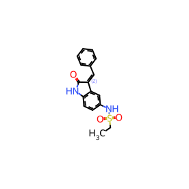 CCS(=O)(=O)Nc1ccc2c(c1)/C(=C/c1ccccc1)C(=O)N2